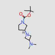 CN(C)C1CN([C@H]2CCN(C(=O)OC(C)(C)C)C2)C1